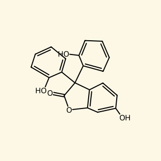 O=C1Oc2cc(O)ccc2C1(c1ccccc1O)c1ccccc1O